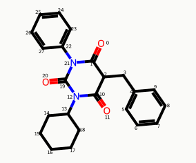 O=C1C(Cc2ccccc2)C(=O)N(C2CCCCC2)C(=O)N1c1ccccc1